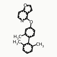 Cc1cc(Oc2nccc3occc23)ccc1-c1c(C)cccc1C